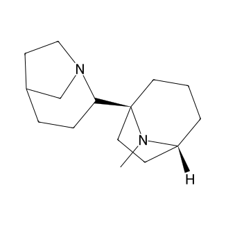 CN1[C@@H]2CCC[C@@]1(C1CCC3CCN1C3)CC2